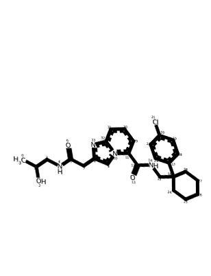 CC(O)CNC(=O)Cc1cn2c(C(=O)NCC3(c4ccc(Cl)cc4)CCCCC3)cccc2n1